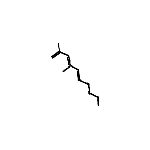 C=C(C)/C=C(C)/C=C/CCCC